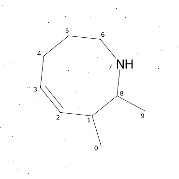 CC1/C=C\CCCNC1C